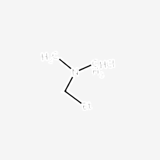 CC[CH]N(C)C.Cl